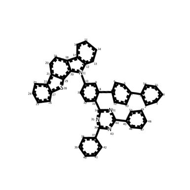 c1ccc(-c2ccc(-c3cc(-n4c5ccccc5c5ccc6c7ccccc7sc6c54)ccc3-c3nc(-c4ccccc4)nc(-c4ccccc4)n3)cc2)cc1